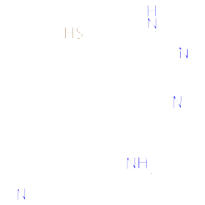 N#CC[C@@H](N)c1nn[nH]c1S